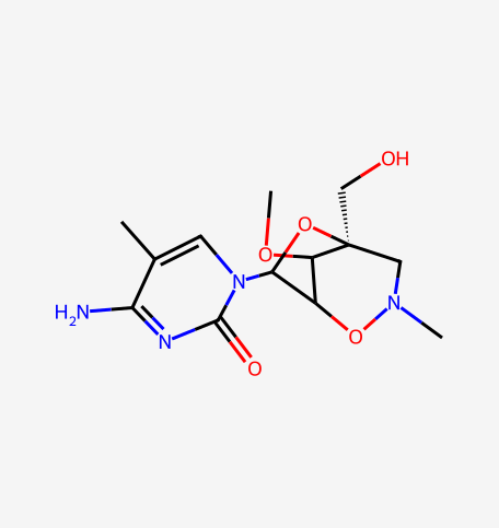 COC1C2ON(C)C[C@]1(CO)OC2n1cc(C)c(N)nc1=O